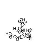 COc1cccc(C(C)NC(=O)CC2CN(C(=O)COCC(=O)O)CCN2c2cc(Cl)nc(-n3ccnc3)n2)c1